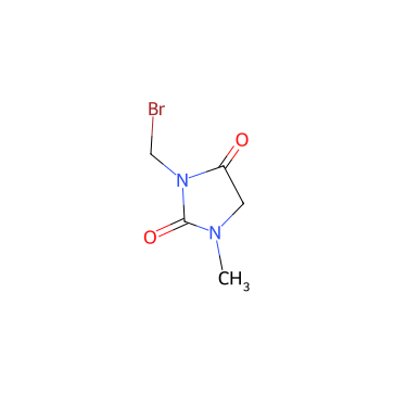 CN1CC(=O)N(CBr)C1=O